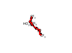 CC(c1cn(CCCCc2ccc(OCc3coc(C=Cc4ccc(C(F)(F)F)cc4)n3)cc2)nn1)(c1coc(C=Cc2ccc(C(F)(F)F)cc2)n1)S(=O)(=O)O